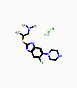 CC(CN(C)C)Sc1nc2cc(Cl)c(N3CCNCC3)cc2[nH]1.Cl.Cl.Cl